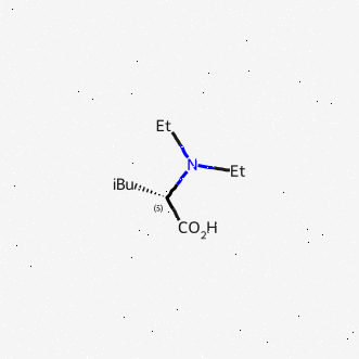 CCC(C)[C@@H](C(=O)O)N(CC)CC